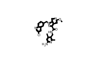 COc1cc2c(C(=O)NCc3c(C)cc(N)nc3C)nn(Cc3ccc4ncc(Cl)cc4c3)c2cn1